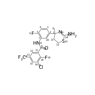 CC1(c2ccc(F)c(NC(=O)c3cc(C(F)(F)F)cc(Cl)c3F)c2)CCSC(N)=N1